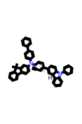 C#C/C=C(\C=C/CN(c1ccc(-c2ccccc2)cc1)c1ccc2c(c1)C(C)(C)c1ccccc1-2)C1=C[C@H]2c3ccccc3N(c3ccccc3)C2C=C1